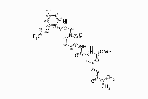 COC(=O)NC(CCC=CC(=O)N(C)C)C(=O)Nc1cccn(Cc2nc3c(OCC(F)(F)F)cc(F)cc3[nH]2)c1=O